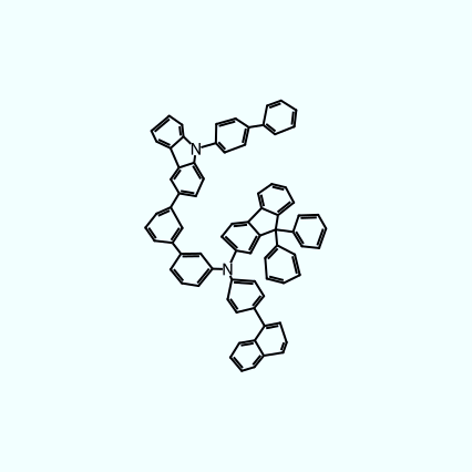 c1ccc(-c2ccc(-n3c4ccccc4c4cc(-c5cccc(-c6cccc(N(c7ccc(-c8cccc9ccccc89)cc7)c7ccc8c(c7)C(c7ccccc7)(c7ccccc7)c7ccccc7-8)c6)c5)ccc43)cc2)cc1